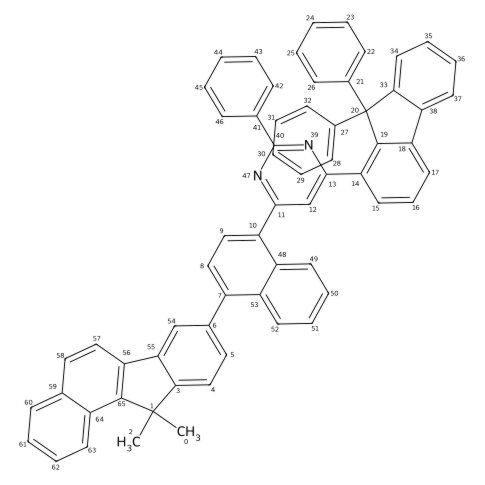 CC1(C)c2ccc(-c3ccc(-c4cc(-c5cccc6c5C(c5ccccc5)(c5ccccc5)c5ccccc5-6)nc(-c5ccccc5)n4)c4ccccc34)cc2-c2ccc3ccccc3c21